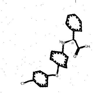 O=C(O)[C@@H](Nc1ccc(Oc2ccc(Cl)cc2)cc1)c1ccccc1